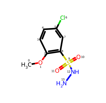 COc1ccc(Cl)cc1S(=O)(=O)NN